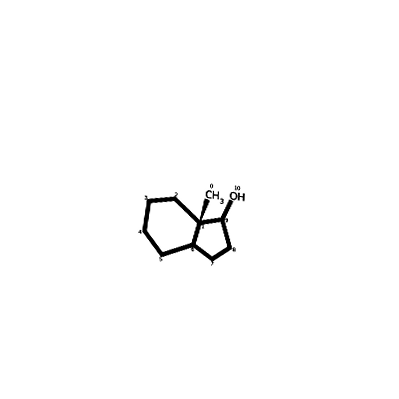 C[C@]12CCCCC1CCC2O